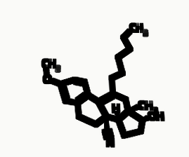 CCCCCCC1=C2c3ccc(OC)cc3CC[C@@]2(C#N)[C@@H]2CC[C@H](O)[C@@]2(C)C1